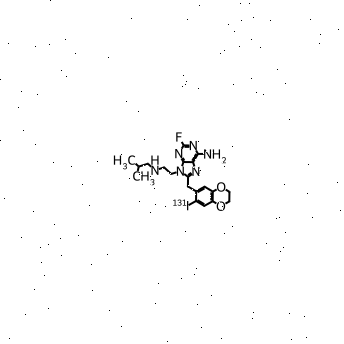 CC(C)CNCCn1c(Cc2cc3c(cc2[131I])OCCO3)nc2c(N)nc(F)nc21